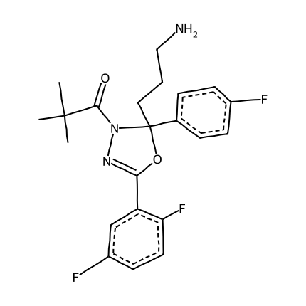 CC(C)(C)C(=O)N1N=C(c2cc(F)ccc2F)OC1(CCCN)c1ccc(F)cc1